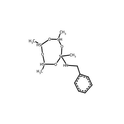 C[SiH]1O[SiH](C)O[Si](C)(NCc2ccccc2)O[SiH](C)O1